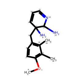 COc1ccc(CC2(N)C=CC=NC2N)c(C)c1C